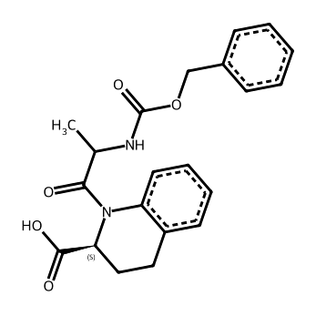 CC(NC(=O)OCc1ccccc1)C(=O)N1c2ccccc2CC[C@H]1C(=O)O